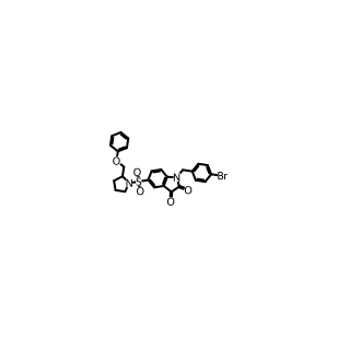 O=C1C(=O)N(Cc2ccc(Br)cc2)c2ccc(S(=O)(=O)N3CCCC3COc3ccccc3)cc21